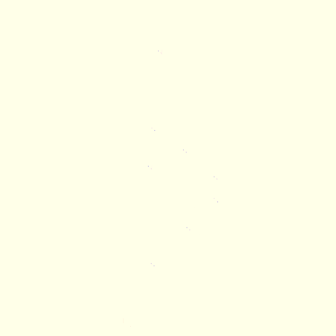 C=CC(=O)Nc1cccc(-c2nc(Nc3cccc(N4CCOCC4)c3)nc3[nH]nc(N)c23)c1